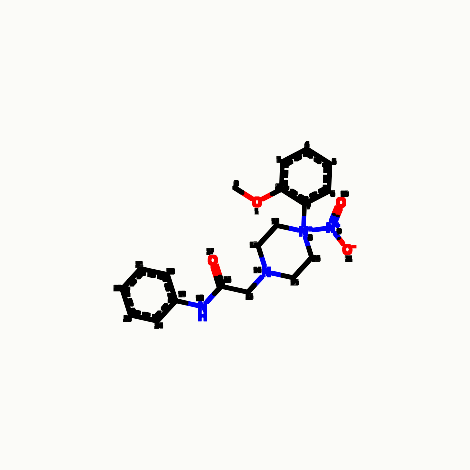 COc1ccccc1[N+]1([N+](=O)[O-])CCN(CC(=O)Nc2ccccc2)CC1